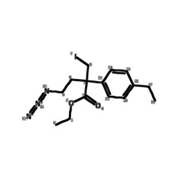 CCOC(=O)C(CI)(CCN=[N+]=[N-])c1ccc(CC)cc1